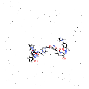 Cc1nccn1-c1ccc([C@H](C)NC(=O)[C@@H]2C[C@@H](O)CN2C(=O)[C@@H](c2cc(OCCN3CCN(CCOc4cc(N5C6CCC5CN(c5cc(-c7ccccc7O)nnc5N)C6)ccn4)CC3)no2)C(C)C)cc1